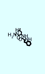 CC(C)CC(NC(=O)c1cc2ccccc2[nH]1)C(=O)NN